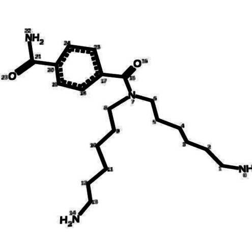 NCCCCCCN(CCCCCCN)C(=O)c1ccc(C(N)=O)cc1